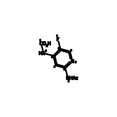 CC(=O)Nc1cc(NC(=O)O)c(F)cn1